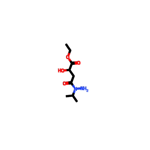 CCOC(=O)C(O)CC(=O)N(N)C(C)C